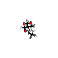 O=S(=O)(CC(F)(F)F)C(C(F)(F)F)(C(F)(F)F)C(F)(F)F